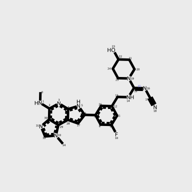 CNc1nc2[nH]c(-c3cc(F)cc(CN/C(=N\C#N)N4CCC(O)CC4)c3)cc2c2c1ncn2C